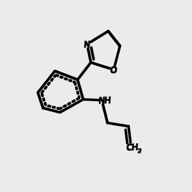 C=CCNc1ccccc1C1=NCCO1